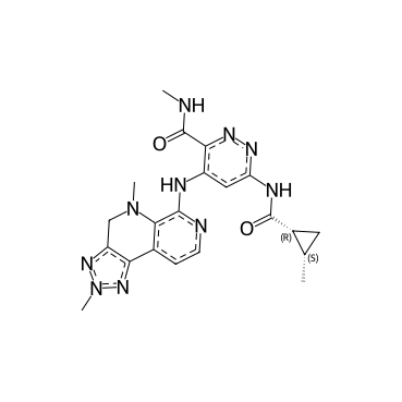 CNC(=O)c1nnc(NC(=O)[C@@H]2C[C@@H]2C)cc1Nc1nccc2c1N(C)Cc1nn(C)nc1-2